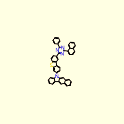 c1ccc(-c2nc(-c3ccc4sc5cc(-n6c7ccccc7c7cc8ccccc8cc76)ccc5c4c3)nc(-c3cccc4ccccc34)n2)cc1